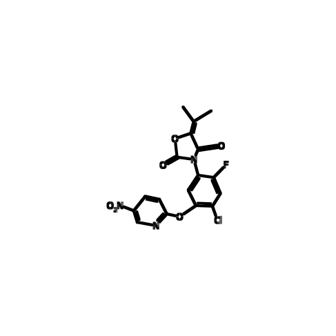 CC(C)=C1OC(=O)N(c2cc(Oc3ccc([N+](=O)[O-])cn3)c(Cl)cc2F)C1=O